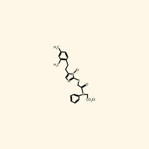 CCOC(=O)CN(C(=O)CSc1ncc(CCc2ccc(C)cc2C)n1CC)c1ccccc1